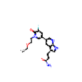 NC(=O)C=Cc1c[nH]c2ncc(-c3cc(F)c(=O)n(CCOCC(F)(F)F)c3)cc12